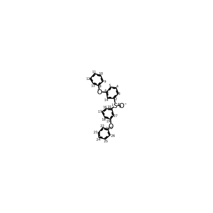 [O-][S+](c1cccc(Oc2ccccc2)c1)c1cccc(Oc2ccccc2)c1